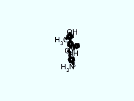 Cc1cc(O)ncc1-c1ccc2c(c1)C1(CCCC1)CN2C(=O)NCc1ccc(SN)cc1